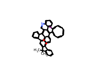 CC1(C)c2ccccc2-c2ccc(-c3ccccc3-c3c4ccccc4c(-c4ccccccccc4I)c4c3cnc3ccccc34)cc21